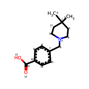 CC1(C)CCN(Cc2ccc(C(=O)O)cc2)CC1